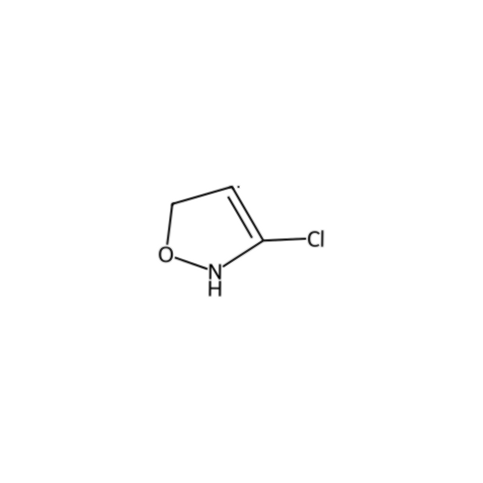 ClC1=[C]CON1